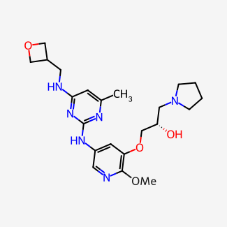 COc1ncc(Nc2nc(C)cc(NCC3COC3)n2)cc1OC[C@@H](O)CN1CCCC1